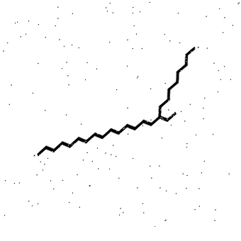 [CH2]CCCCCCCCCCCCCCC(CC)CCCCCCC[CH2]